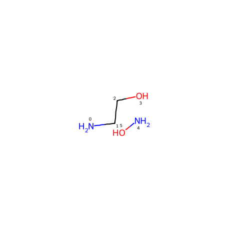 NCCO.NO